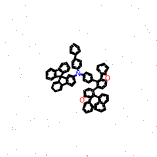 C1=C2C(=CCC1)C1(c3cc(N(c4ccc(-c5ccccc5)cc4)c4ccc(-c5c(-c6ccc7oc8ccccc8c7c6-c6cccc7ccccc67)ccc6oc7ccccc7c56)cc4)ccc32)c2ccccc2-c2ccccc21